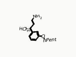 CCCCCOc1cccc([C@H](O)CCN)c1